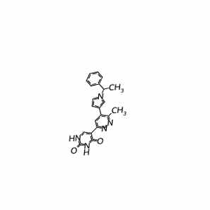 Cc1nnc(-c2c[nH]c(=O)[nH]c2=O)cc1-c1ccn(C(C)c2ccccc2)c1